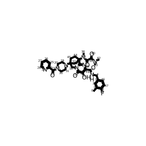 Cc1cc(CNC(=O)c2nc3n(c(=O)c2O)CC2(N4CCN(C(=O)c5ccccn5)CC4)CCC3(N(C)C(=O)C(=O)N(C)C)CC2)ccc1F